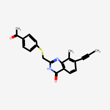 CC#Cc1ccc2c(=O)[nH]c(CSc3ccc(C(C)=O)cc3)nc2c1C